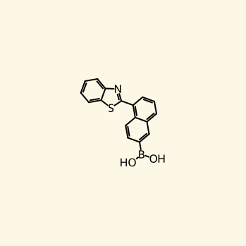 OB(O)c1ccc2c(-c3nc4ccccc4s3)cccc2c1